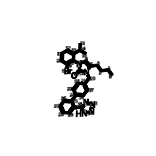 CCCCc1cn(-c2c(Br)cccc2C(C)C)c(=O)n1Cc1ccc(-c2ccccc2-c2nnn[nH]2)cc1